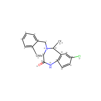 COc1ccccc1CN1CC(=O)Nc2ccc(Cl)cc2C1C(F)(F)F